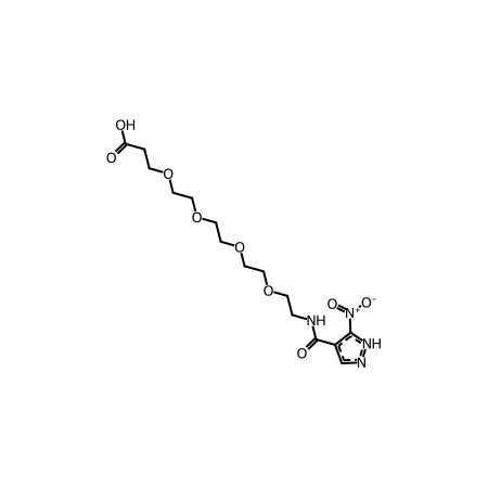 O=C(O)CCOCCOCCOCCOCCNC(=O)c1cn[nH]c1[N+](=O)[O-]